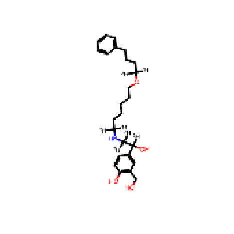 [2H]C([2H])(CCCCCOC([2H])([2H])CCCc1ccccc1)NC([2H])([2H])C([2H])(O)c1ccc(O)c(CO)c1